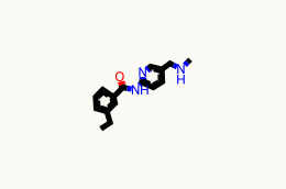 CCc1cccc(C(=O)Nc2ccc(CNC)cn2)c1